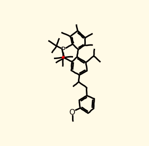 COc1cccc(CC(C)c2cc(C(C)C)c(-c3c(C)c(C)c(C)c(C)c3P(C(C)(C)C)C(C)(C)C)c(C(C)C)c2)c1